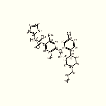 O=S(=O)(Nc1ncns1)c1cc(F)c(OC[C@H]2CN(CCF)CC[C@@H]2c2ccc(Cl)cc2)cc1F